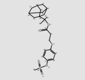 CC(C)(OC(=O)CCSc1ccc(OS(C)(=O)=O)cc1)C12CC3CC(CC(C3)C1)C2